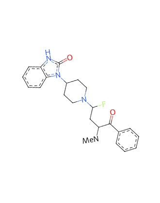 CNC(CC(F)N1CCC(n2c(=O)[nH]c3ccccc32)CC1)C(=O)c1ccccc1